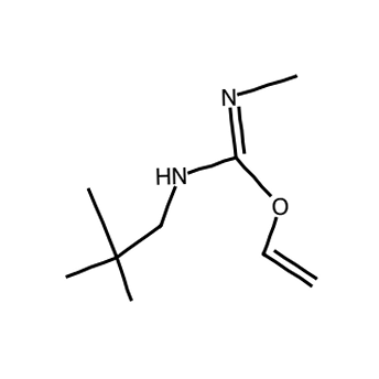 C=CO/C(=N\C)NCC(C)(C)C